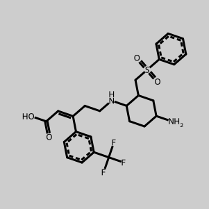 NC1CCC(NCC/C(=C/C(=O)O)c2cccc(C(F)(F)F)c2)C(CS(=O)(=O)c2ccccc2)C1